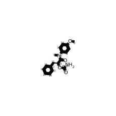 COc1ccc(N(C)C(=O)[C@H](Cc2ccccc2)OC(N)=O)cc1